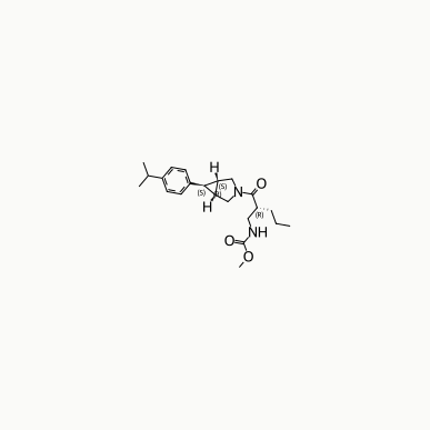 CCC[C@H](CNC(=O)OC)C(=O)N1C[C@@H]2[C@H](C1)[C@H]2c1ccc(C(C)C)cc1